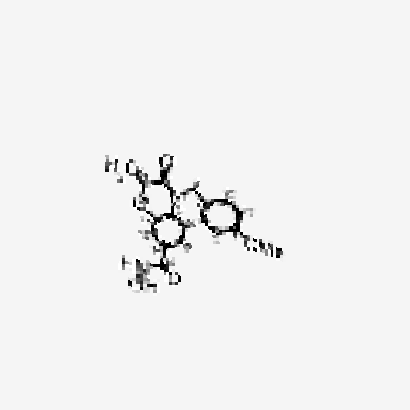 COc1ccc(CN2C(=O)C(C)Oc3cc(C(=O)NO)ccc32)cc1